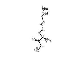 CCCCNCCSSCC(N)C(=O)CO